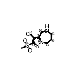 CS(=O)(=O)c1nn2c(c1Cl)CNCCC2